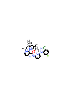 CC1CN(c2ncccc2C(=O)Nc2cccc(Nc3cc(F)ccc3Cl)n2)C(C)(C)C1